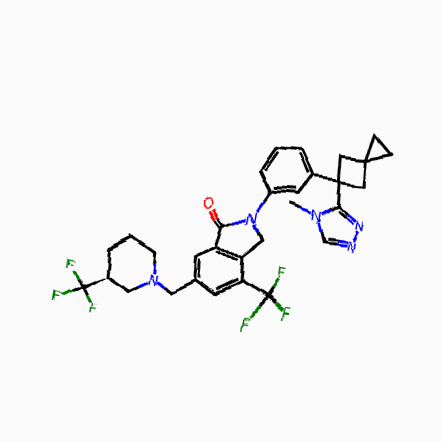 Cn1cnnc1C1(c2cccc(N3Cc4c(cc(CN5CCC[C@H](C(F)(F)F)C5)cc4C(F)(F)F)C3=O)c2)CC2(CC2)C1